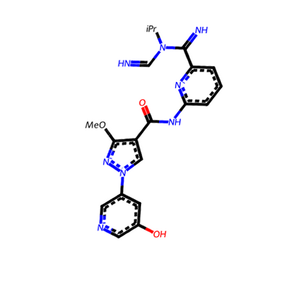 COc1nn(-c2cncc(O)c2)cc1C(=O)Nc1cccc(C(=N)N(C=N)C(C)C)n1